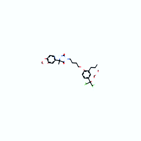 CCCc1cc(C(OCOC)(C(F)(F)F)C(F)(F)F)ccc1OCCCCN1C(=O)NC(C)(c2ccc3c(c2)OCO3)C1=O